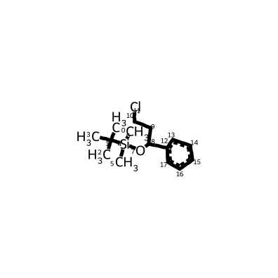 CC(C)(C)[Si](C)(C)OC(CCCl)c1ccccc1